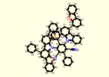 N#Cc1c(-c2ccccc2)c(C#N)c(-n2c3c(ccc4c5ccccc5sc43)c3c(-c4ccccc4)cc4c5ccccc5sc4c32)c(-c2ccccc2)c1-n1c2ccccc2c2c(-c3cccc4c3oc3ccccc34)cccc21